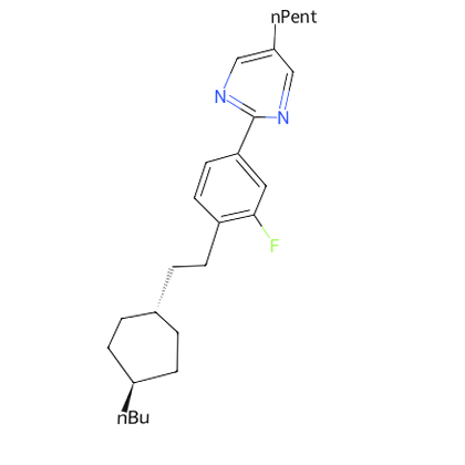 CCCCCc1cnc(-c2ccc(CC[C@H]3CC[C@H](CCCC)CC3)c(F)c2)nc1